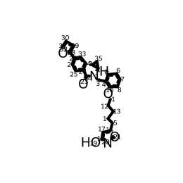 [2H]C1(N(Cc2ccccc2OCCCCCc2cc(O)no2)C(=O)c2ccc(-c3ccco3)cc2)CC1